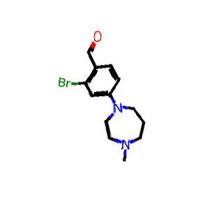 CN1CCCN(c2ccc(C=O)c(Br)c2)CC1